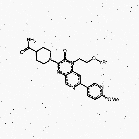 CCCOCCn1c(=O)c(N2CCC(C(N)=O)CC2)nc2cnc(-c3ccc(OC)nc3)cc21